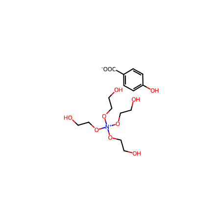 O=C([O-])c1ccc(O)cc1.OCCO[N+](OCCO)(OCCO)OCCO